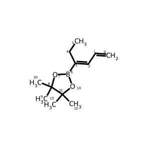 C=C/C=C(\CC)B1OC(C)(C)C(C)(C)O1